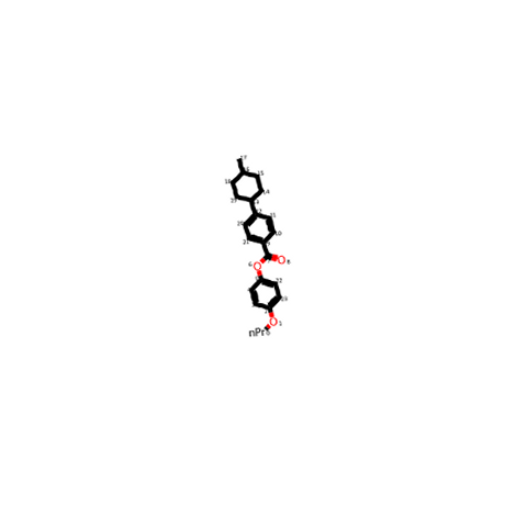 CCCOc1ccc(OC(=O)c2ccc(C3CCC(C)CC3)cc2)cc1